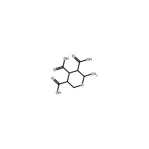 CC1OCC(C(=O)O)C(C(=O)O)C1C(=O)O